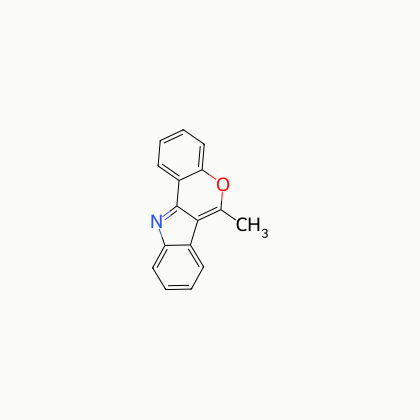 Cc1oc2ccccc2c2nc3ccccc3c1-2